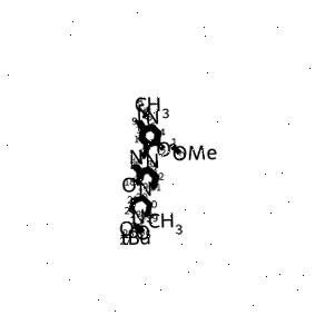 COCOc1cc2nn(C)cc2cc1-c1ncc2c(=O)n([C@H]3CCN(C(=O)OC(C)(C)C)[C@@H](C)C3)ccc2n1